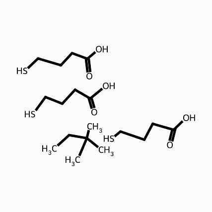 CCC(C)(C)C.O=C(O)CCCS.O=C(O)CCCS.O=C(O)CCCS